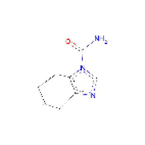 NC(=O)n1cnc2c1CC[CH]C2